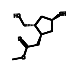 COC(=O)C[C@@H]1C[C@H](O)C[C@H]1CO